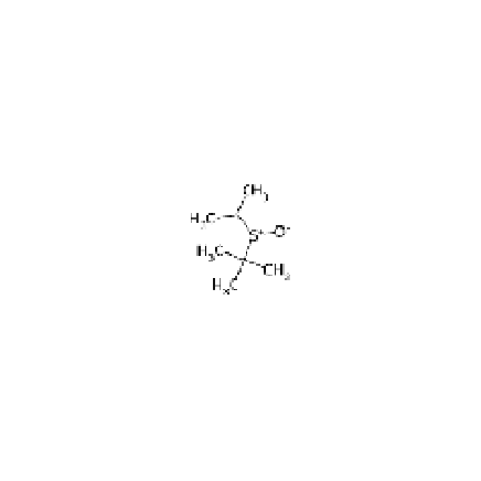 CC(C)[S+]([O-])C(C)(C)C